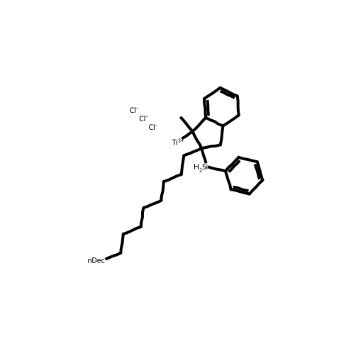 CCCCCCCCCCCCCCCCCCC1([SiH2]c2ccccc2)CC2CC=CC=C2[C]1(C)[Ti+3].[Cl-].[Cl-].[Cl-]